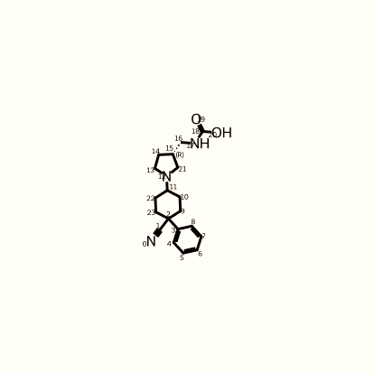 N#CC1(c2ccccc2)CCC(N2CC[C@H](CNC(=O)O)C2)CC1